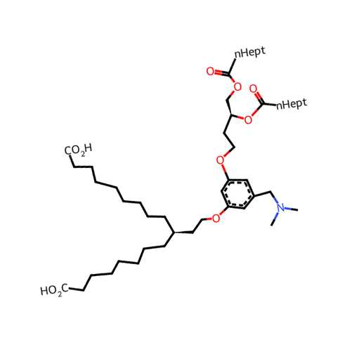 CCCCCCCC(=O)OC[C@H](CCOc1cc(CN(C)C)cc(OCC[C@H](CCCCCCCCC(=O)O)CCCCCCCC(=O)O)c1)OC(=O)CCCCCCC